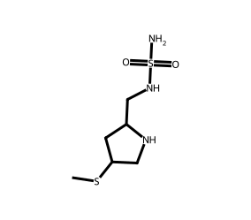 CSC1CNC(CNS(N)(=O)=O)C1